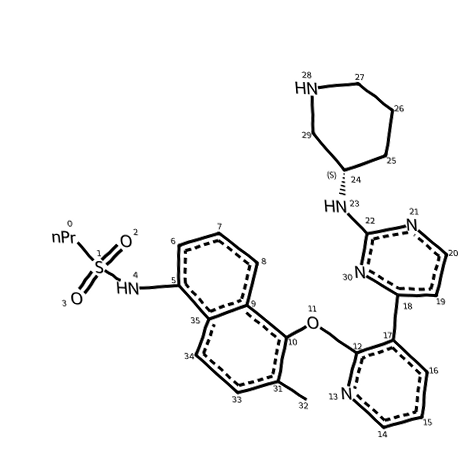 CCCS(=O)(=O)Nc1cccc2c(Oc3ncccc3-c3ccnc(N[C@H]4CCCNC4)n3)c(C)ccc12